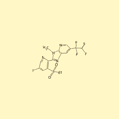 CCS(=O)(=O)c1cc(I)cnc1-c1nc2cc(C(F)(F)C(F)F)cnc2n1C